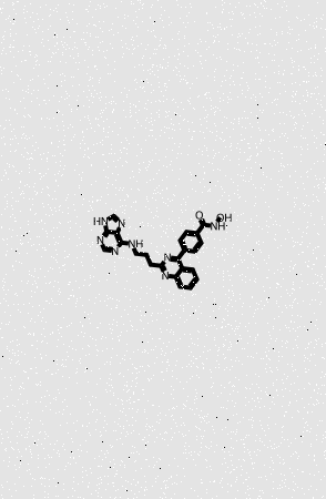 O=C(NO)c1ccc(-c2nc(CCCNc3ncnc4[nH]cnc34)nc3ccccc23)cc1